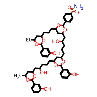 CCC1CC(CCCC2CC(CC(O)CCCC3CC(CCCC(O)CC4C[C@H](C)OC(c5cccc(O)c5)O4)OC(c4cccc(O)c4)O3)OC(c3ccc(S(N)(=O)=O)cc3)O2)OC(c2cccc(O)c2)O1